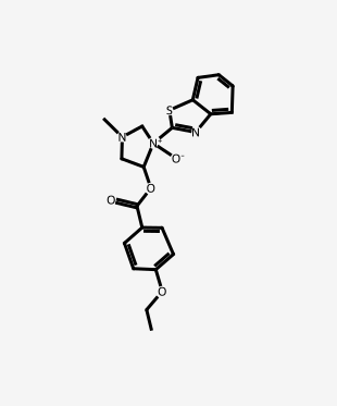 CCOc1ccc(C(=O)OC2CN(C)C[N+]2([O-])c2nc3ccccc3s2)cc1